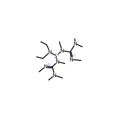 CCN(CC)[S+](N(C)/C(=N/C)N(C)C)N(C)/C(=N/C)N(C)C